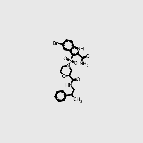 CC(CNC(=O)C1CN(S(=O)(=O)c2c(C(N)=O)[nH]c3ccc(Br)cc23)CCO1)c1ccccc1